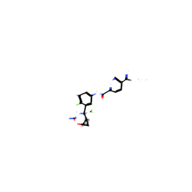 COC(=N)c1ccc(C(=O)Nc2cc(F)c(F)c([C@@]3(C(F)F)N=C(N)O[C@@H]4C[C@@H]43)c2)nc1